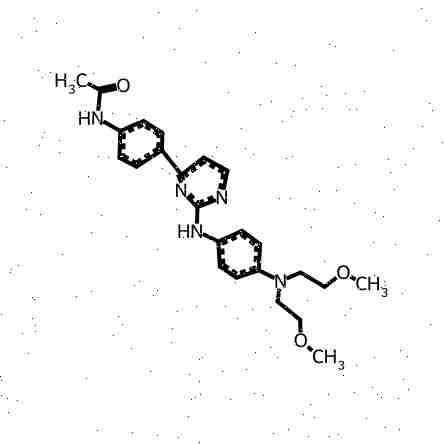 COCCN(CCOC)c1ccc(Nc2nccc(-c3ccc(NC(C)=O)cc3)n2)cc1